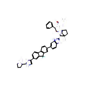 COC(=O)N[C@@H](C(=O)N1[C@@H]2CC[C@@H](C2)[C@H]1c1nc2ccc(-c3ccc4c(c3)C(F)(F)c3cc(-c5cnc(C6CCCN6)[nH]5)ccc3-4)cc2[nH]1)c1ccccc1